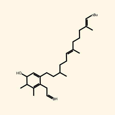 B=CCC1=C(C)C(C)C(O)C=C1CCC(C)CC/C=C(\C)CCC/C(C)=C/CCCC